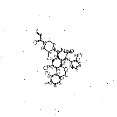 C=CC(=O)N1CCN(c2nc(=O)n(-c3ncsc3C(C)C)c3c4c(c(Cl)cc23)-c2c(ccc(F)c2F)CO4)[C@@H](C)C1